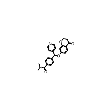 CN(C)C(=O)c1ccc(C(Oc2ccc3c(c2)OCCC3=O)c2ccncc2)cc1